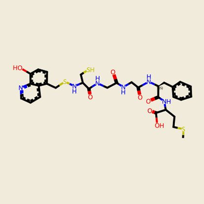 CSCCC(NC(=O)[C@H](Cc1ccccc1)NC(=O)CNC(=O)CNC(=O)C(CS)NSCc1ccc(O)c2ncccc12)C(=O)O